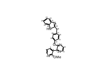 COc1ncccc1-c1nccnc1Oc1ccc(Cc2nc3ccccc3[nH]2)cc1